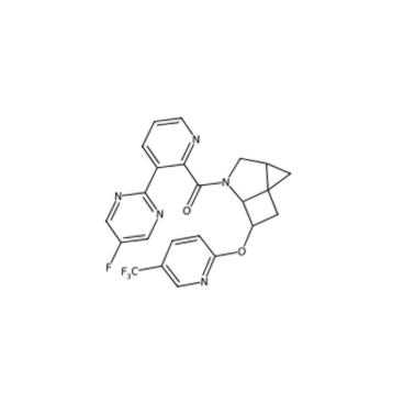 O=C(c1ncccc1-c1ncc(F)cn1)N1CC2CC23CC(Oc2ccc(C(F)(F)F)cn2)C13